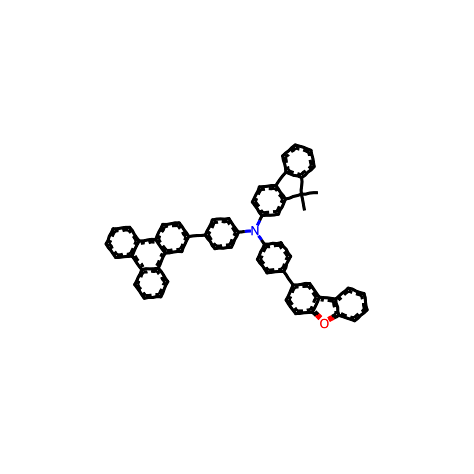 CC1(C)c2ccccc2-c2ccc(N(c3ccc(-c4ccc5oc6ccccc6c5c4)cc3)c3ccc(-c4ccc5c6ccccc6c6ccccc6c5c4)cc3)cc21